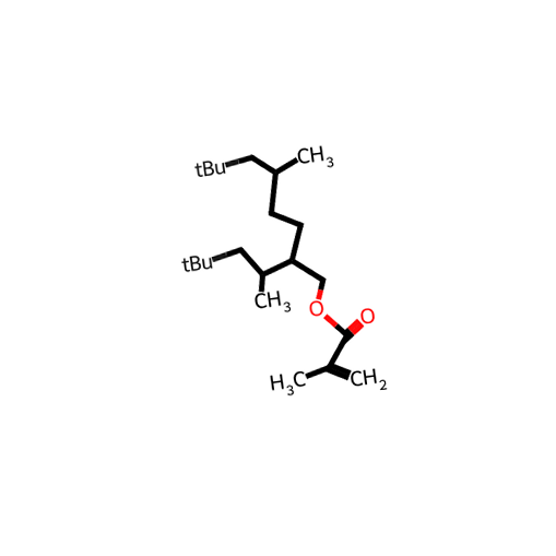 C=C(C)C(=O)OCC(CCC(C)CC(C)(C)C)C(C)CC(C)(C)C